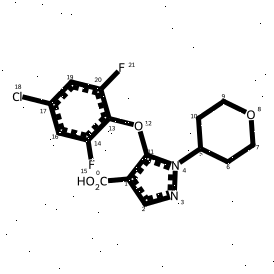 O=C(O)c1cnn(C2CCOCC2)c1Oc1c(F)cc(Cl)cc1F